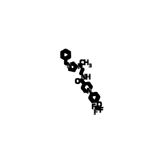 CN(CCNC(=O)C1CCN(c2ccc(OC(F)(F)F)cc2)CC1)[C@@H]1CCN(Cc2ccccc2)C1